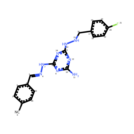 N#Cc1ccc(C=NNc2nc(N)nc(NNCc3ccc(F)cc3)n2)cc1